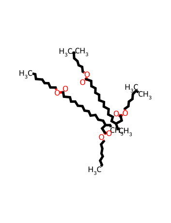 CCC(CCCCCCCCCCCCC(=O)OCCCCCC(C)C)CC(=O)OCCCCCC(C)C.CCCCCCCCOC(=O)CCCCCCCCCCCCC(CC)CC(=O)OCCCCCCCC